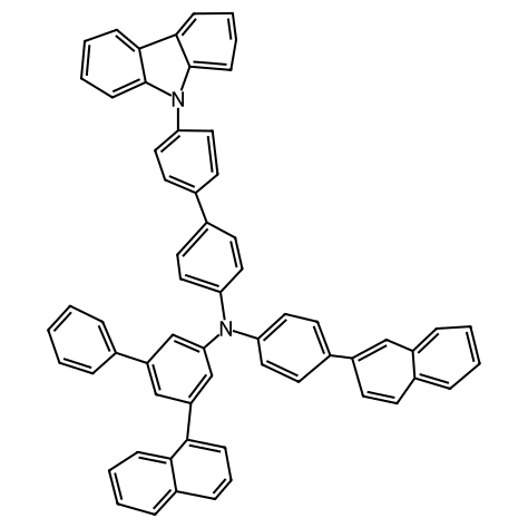 c1ccc(-c2cc(-c3cccc4ccccc34)cc(N(c3ccc(-c4ccc(-n5c6ccccc6c6ccccc65)cc4)cc3)c3ccc(-c4ccc5ccccc5c4)cc3)c2)cc1